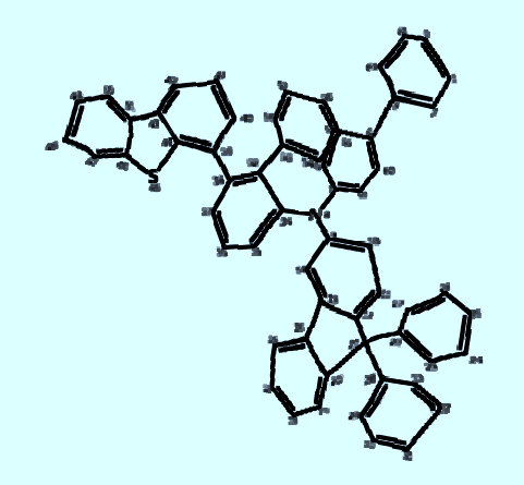 c1ccc(-c2ccc(N(c3ccc4c(c3)-c3ccccc3C4(c3ccccc3)c3ccccc3)c3cccc(-c4cccc5c4sc4ccccc45)c3-c3ccccc3)cc2)cc1